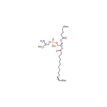 CCCCCCCCCC/C=C\CCCCCCCCCC(=O)O[C@H](COC(=O)CCCCCCCCCCCCC)COP(=O)(O)OC[C@H](N)C(=O)O